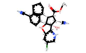 COC(=O)[C@@H]1[C@@H](c2ccccc2)[C@]2(c3ccc(C#N)cc3)Oc3cc(Cl)cnc3[C@]2(O)[C@H]1C#N